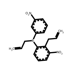 C=CCB(c1cccc([N+](=O)[O-])c1)c1cccc([N+](=O)[O-])c1CC=C